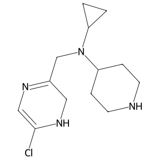 ClC1=CN=C(CN(C2CCNCC2)C2CC2)CN1